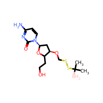 BC(C)(C)SSCO[C@@H]1C[C@H](n2ccc(N)nc2=O)OC1CCO